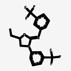 CCC1CN(c2cccc(C(F)(F)F)c2)C(=Nc2cccc(C(F)(F)F)c2)O1